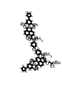 CCCCC(CC)COC(=O)c1ccc2c3c(ccc(C(=O)N(C)c4ccc(Oc5ccc(N(C)C(=O)c6ccc7c8c(ccc(C(=O)O)c68)C(=O)N(c6c(C(C)C)cc(C8=CC=CC8)cc6C(C)C)C7=O)cc5)cc4)c13)C(=O)N(c1c(C(C)C)cc(C3=CC=CC3)cc1C(C)C)C2=O